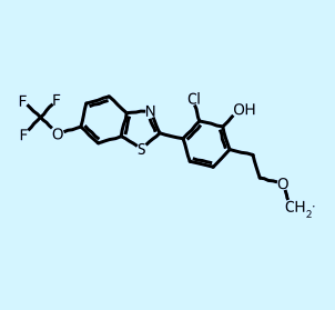 [CH2]OCCc1ccc(-c2nc3ccc(OC(F)(F)F)cc3s2)c(Cl)c1O